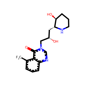 O=c1c2c(C(F)(F)F)cccc2ncn1C[C@@H](O)C[C@H]1NCCC[C@@H]1O